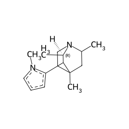 CC1CC2(C)CCN1[C@H](C)C2c1cccn1C